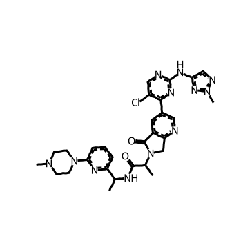 CC(NC(=O)C(C)N1Cc2ncc(-c3nc(Nc4cnn(C)n4)ncc3Cl)cc2C1=O)c1cccc(N2CCN(C)CC2)n1